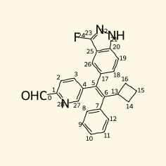 O=Cc1ccc(/C(=C(\c2ccccc2)C2CCC2)c2ccc3[nH]nc(F)c3c2)cn1